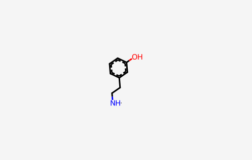 [NH]CCc1cccc(O)c1